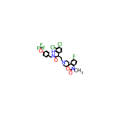 CN1C(=O)OC2(CCN(CCC(C(=O)NCc3ccc(OC(F)(F)F)cc3)c3ccc(Cl)c(Cl)c3)CC2)c2cc(F)ccc21